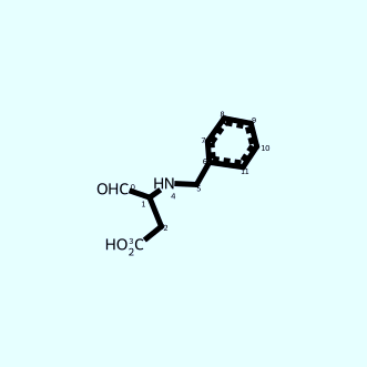 O=CC(CC(=O)O)NCc1ccccc1